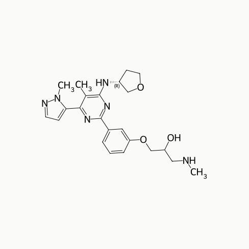 CNCC(O)COc1cccc(-c2nc(N[C@@H]3CCOC3)c(C)c(-c3ccnn3C)n2)c1